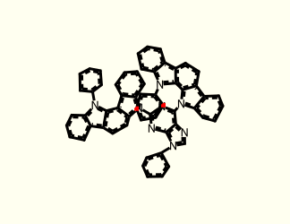 c1ccc(-n2cnc3c(-n4c5ccccc5c5ccc6c7ccccc7n(-c7ccccc7)c6c54)nc(-n4c5ccccc5c5c4ccc4c6ccccc6n(-c6ccccc6)c45)nc32)cc1